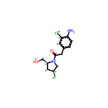 Nc1ccc(CC(=O)N2C[C@@H](F)C[C@H]2CO)cc1Cl